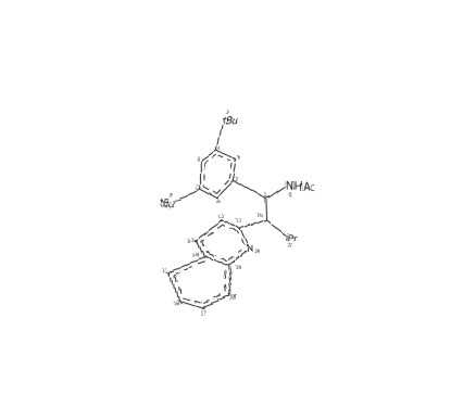 CC(=O)NC(c1cc(C(C)(C)C)cc(C(C)(C)C)c1)C(c1ccc2ccccc2n1)C(C)C